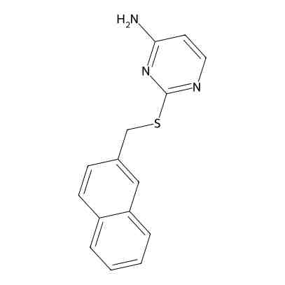 Nc1ccnc(SCc2ccc3ccccc3c2)n1